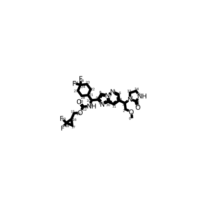 COCC(c1cnn2cc(C(NC(=O)OCC3CC3(F)F)C3CCC(F)(F)CC3)nc2c1)N1CCNC1=O